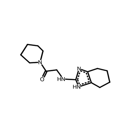 O=C(CNc1nc2c([nH]1)CCCC2)N1CCCCC1